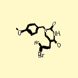 COc1ccc(Cn2cc(C=C(Br)Br)c(=O)[nH]c2=O)cc1